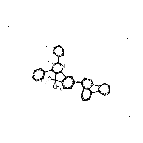 CC1(C)c2ccc(-c3ccc4c5c(cccc35)-c3ccccc3-4)cc2-c2nc(-c3ccccc3)nc(-c3ccccc3)c21